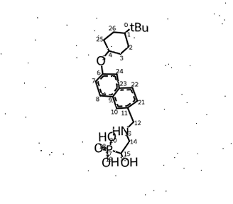 CC(C)(C)C1CCC(Oc2ccc3cc(CNCC(O)P(=O)(O)O)ccc3c2)CC1